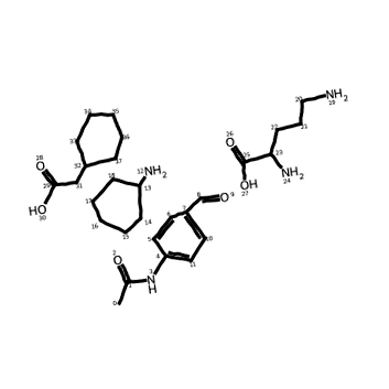 CC(=O)Nc1ccc(C=O)cc1.NC1CCCCC1.NCCCC(N)C(=O)O.O=C(O)CC1CCCCC1